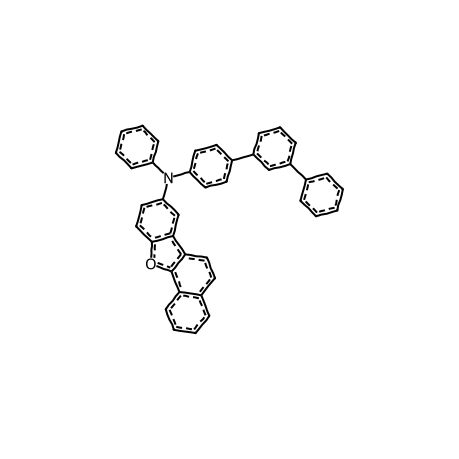 c1ccc(-c2cccc(-c3ccc(N(c4ccccc4)c4ccc5oc6c7ccccc7ccc6c5c4)cc3)c2)cc1